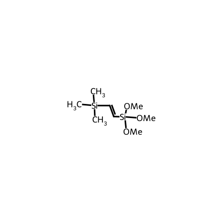 CO[Si](C=C[Si](C)(C)C)(OC)OC